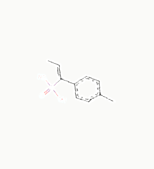 CC=C(c1ccc(C)cc1)P(=O)(O)O